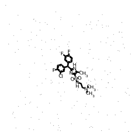 Cc1[nH]c(C(c2ccc(F)c(F)c2)c2ccc(F)c(Cl)c2)nc1S(=O)(=O)NCCN(C)C